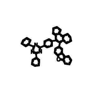 c1ccc(-c2nc(-c3ccccc3)nc(-c3ccc(-c4c(-c5ccc6oc7ccccc7c6c5)c5ccccc5c5ccccc45)cc3)n2)cc1